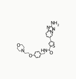 Nc1nc2ccc(-c3csc(C(=O)NCc4ccc(OCCN5CCOCC5)cc4)c3)cn2n1